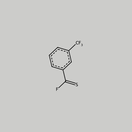 FC(=S)c1cccc(C(F)(F)F)c1